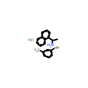 CC(N)c1cccc2ccccc12.CCCc1cccc(C(F)(F)F)c1.Cl